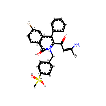 CC(C)/C(N)=C/C(=O)c1c(-c2ccccc2)c2cc(Br)ccc2c(=O)n1Cc1ccc(S(C)(=O)=O)cc1